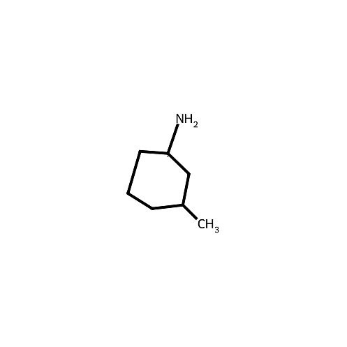 CC1CCC[C](N)C1